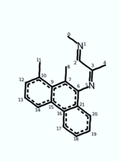 C/N=C/C(C)=N\c1c(C)c2c(C)cccc2c2ccccc12